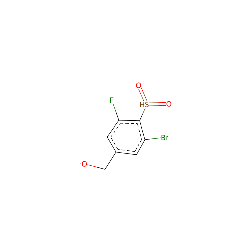 [O]Cc1cc(F)c([SH](=O)=O)c(Br)c1